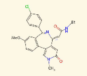 CCNC(=O)/C=C1\N=C(c2ccc(Cl)cc2)c2cc(OC)ccc2-c2cn(C)c(=O)cc21